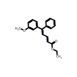 CCOC(=O)/C=C/C=C(\c1ccccc1)c1cccc(OC)c1